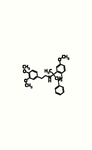 COc1ccc(/C=C/c2ccccc2)c(C(C)(C)NCCc2ccc(OC)c(OC)c2)c1